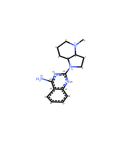 CN1CCCC2C1CCN2c1nc(N)c2ccccc2n1